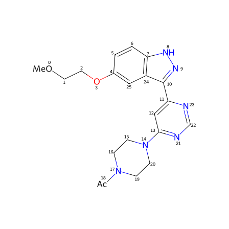 COCCOc1ccc2[nH]nc(-c3cc(N4CCN(C(C)=O)CC4)ncn3)c2c1